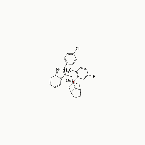 Cc1ccc(F)cc1C(=O)N1C2CCC1CN(Cc1c(-c3ccc(Cl)cc3)nc3ccccn13)C2